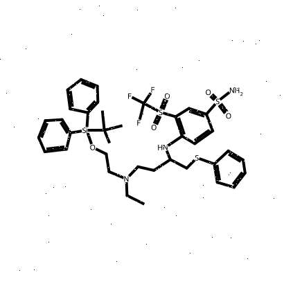 CCN(CCO[Si](c1ccccc1)(c1ccccc1)C(C)(C)C)CCC(CSc1ccccc1)Nc1ccc(S(N)(=O)=O)cc1S(=O)(=O)C(F)(F)F